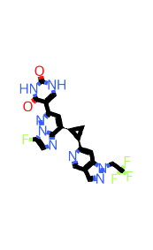 O=c1[nH]cc(-c2cc([C@@H]3C[C@H]3c3cc4c(cn3)cnn4CC(F)(F)F)c3ncc(F)n3n2)c(=O)[nH]1